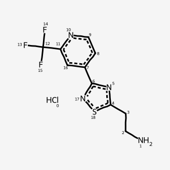 Cl.NCCc1nc(-c2ccnc(C(F)(F)F)c2)ns1